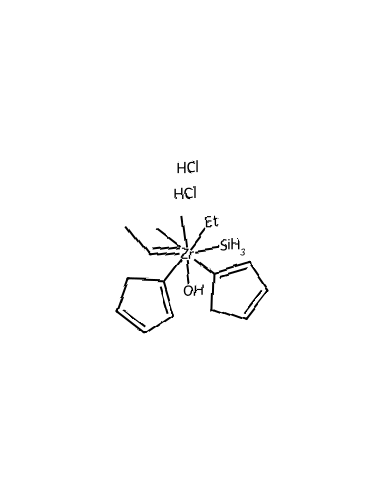 C[CH]=[Zr]([CH3])([CH3])([OH])([SiH3])([CH2]C)([C]1=CC=CC1)[C]1=CC=CC1.Cl.Cl